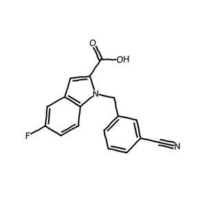 N#Cc1cccc(Cn2c(C(=O)O)cc3cc(F)ccc32)c1